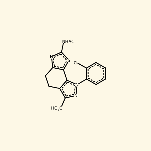 CC(=O)Nc1nc2c(s1)-c1c(c(C(=O)O)nn1-c1ccccc1Cl)CC2